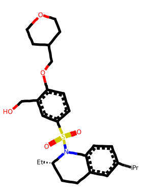 CC[C@H]1CCc2cc(C(C)C)ccc2N1S(=O)(=O)c1ccc(OCC2CCOCC2)c(CO)c1